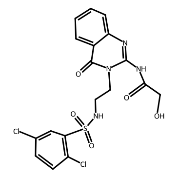 O=C(CO)Nc1nc2ccccc2c(=O)n1CCNS(=O)(=O)c1cc(Cl)ccc1Cl